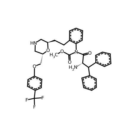 COC(=O)N(C(=O)[C@@H](N)C(c1ccccc1)c1ccccc1)c1ccccc1CC[C@@H]1CNC[C@@H](COc2ccc(C(F)(F)F)cc2)O1